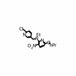 CCCOc1ccc([N+](=O)[O-])c(N(CC)Cc2ccc(Cl)nc2)n1